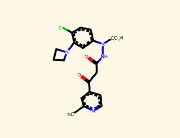 N#Cc1cc(C(=O)CC(=O)NN(C(=O)O)c2ccc(Cl)c(N3CCC3)c2)ccn1